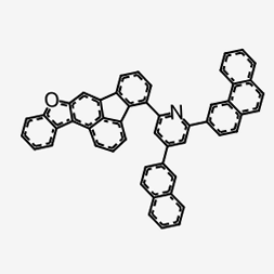 c1cc(-c2cc(-c3ccc4ccccc4c3)cc(-c3ccc4ccc5ccccc5c4c3)n2)c2c(c1)-c1cc3oc4ccccc4c3c3cccc-2c13